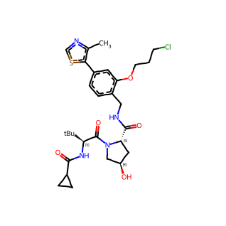 Cc1ncsc1-c1ccc(CNC(=O)[C@@H]2C[C@@H](O)CN2C(=O)[C@@H](NC(=O)C2CC2)C(C)(C)C)c(OCCCCl)c1